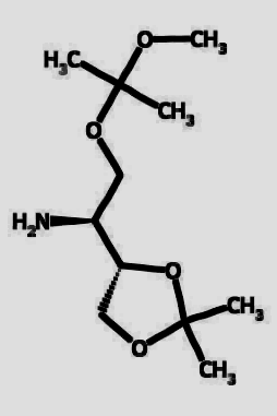 COC(C)(C)OC[C@H](N)[C@H]1COC(C)(C)O1